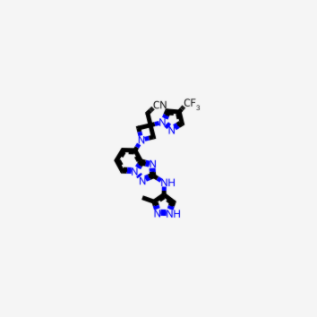 Cc1n[nH]cc1Nc1nc2c(N3CC(CC#N)(n4cc(C(F)(F)F)cn4)C3)cccn2n1